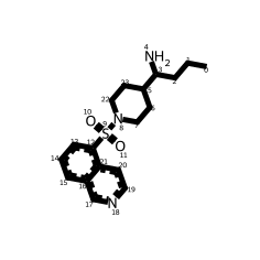 CCCC(N)C1CCN(S(=O)(=O)c2cccc3cnccc23)CC1